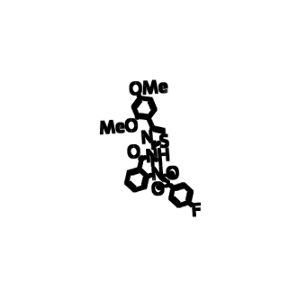 COc1ccc(-c2csc(NC(=O)c3ccccc3NS(=O)(=O)c3ccc(F)cc3)n2)c(OC)c1